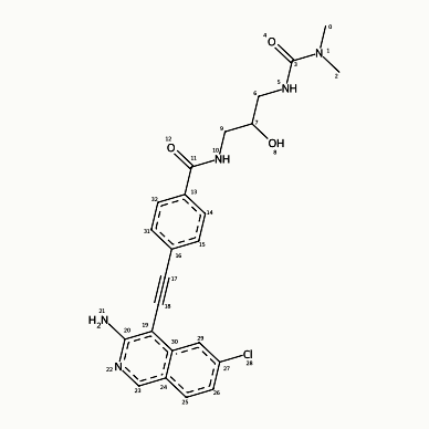 CN(C)C(=O)NCC(O)CNC(=O)c1ccc(C#Cc2c(N)ncc3ccc(Cl)cc23)cc1